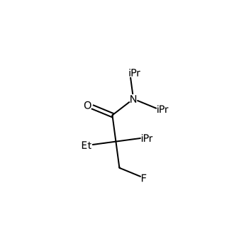 CCC(CF)(C(=O)N(C(C)C)C(C)C)C(C)C